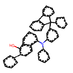 Oc1c(-c2ccccc2)ccc2c(N(c3ccccc3)c3cccc(C4(c5ccccc5)c5ccccc5-c5ccccc54)c3)cccc12